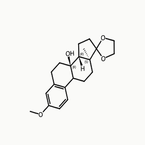 COc1ccc2c(c1)CC[C@@]1(O)C2CC[C@@]2(C)[C@H]1CCC21OCCO1